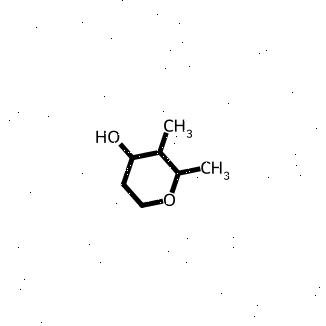 CC1OCCC(O)C1C